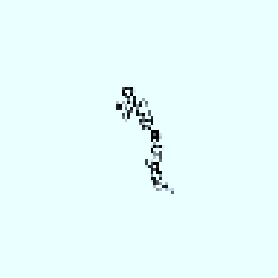 CN1CCN(C(=O)CN2CCC(n3cc(-c4csc(CNC(=O)C5(CC(=O)O)Cc6ccccc6C5)n4)cn3)CC2)CC1